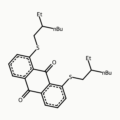 CCCCC(CC)CSc1cccc2c1C(=O)c1c(SCC(CC)CCCC)cccc1C2=O